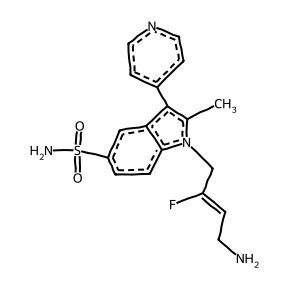 Cc1c(-c2ccncc2)c2cc(S(N)(=O)=O)ccc2n1C/C(F)=C/CN